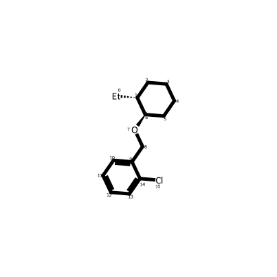 CC[C@@H]1CCCC[C@H]1OCc1ccccc1Cl